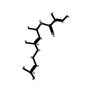 C/C=C(\C)C(=O)OC(C)/C=C(\C)CCC=C(C)C